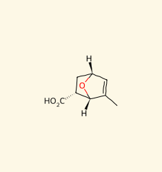 CC1=C[C@H]2C[C@@H](C(=O)O)[C@@H]1O2